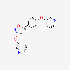 c1cncc(OC2=NO[C@@H](c3ccc(Oc4cccnc4)cc3)C2)c1